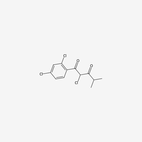 CC(C)C(=O)C(Cl)C(=O)c1ccc(Cl)cc1Cl